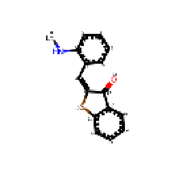 CCNc1ccccc1C=C1Sc2ccccc2C1=O